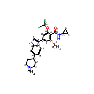 COc1cc(-c2cnc3cc(C4CCN(C)CC4)ccn23)cc(OC(F)F)c1C(=O)NC1CC1